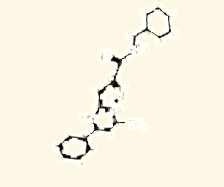 Cc1cc(-c2ccccc2)nc2cc(C(=O)NCC3CCCCC3)nn12